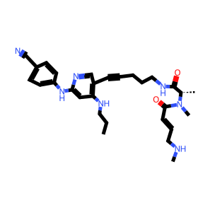 CCCNc1cc(Nc2ccc(C#N)cc2)ncc1C#CCCCNC(=O)[C@H](C)N(C)C(=O)/C=C/CNC